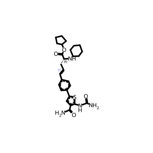 NC(=O)Nc1sc(-c2ccc(/C=C/C[C@@H](NC3CCCCC3)C(=O)OC3CCCC3)cc2)cc1C(N)=O